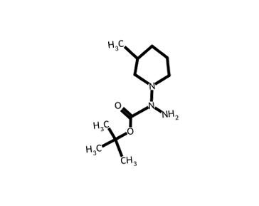 CC1CCCN(N(N)C(=O)OC(C)(C)C)C1